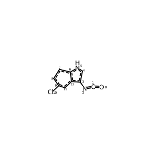 O=C=Nc1c[nH]c2ccc(Cl)cc12